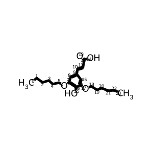 CCCCCCOc1cc(C=CC(=O)O)cc(OCCCCCC)c1O